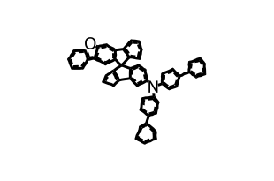 C1=CC2=C(C1)c1cc(N(c3ccc(-c4ccccc4)cc3)c3ccc(-c4ccccc4)cc3)ccc1C21c2ccccc2-c2cc3oc4ccccc4c3cc21